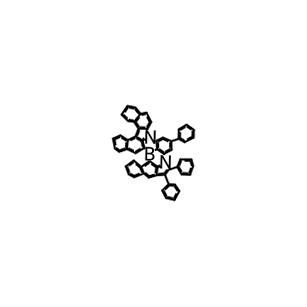 c1ccc(-c2cc3c4c(c2)-n2c5ccc6ccccc6c5c5c6ccccc6cc(c52)B4c2c4ccccc4cc4c(-c5ccccc5)c(-c5ccccc5)n-3c24)cc1